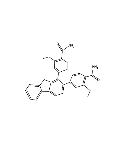 CCc1cc(-c2ccc3c(c2-c2ccc(C(N)=O)c(CC)c2)Cc2ccccc2-3)ccc1C(N)=O